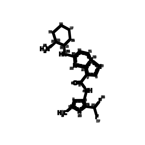 Cn1cc(NC(=O)c2cnn3ccc(N[C@@H]4CCCC[C@@H]4N)nc23)c(C(F)F)n1